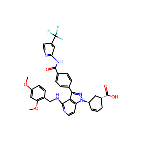 COc1ccc(CNc2nccc3c2c(-c2ccc(C(=O)Nc4cc(C(F)(F)F)ccn4)cc2)nn3[C@@H]2C=CC[C@@H](C(=O)O)C2)c(OC)c1